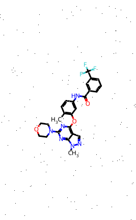 Cc1ccc(NC(=O)c2cccc(C(F)(F)F)c2)cc1Oc1nc(N2CCOCC2)nc2c1cnn2C